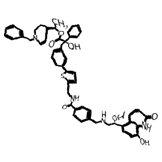 C[C@@H](OC(=O)[C@](O)(c1ccccc1)c1cccc(-c2ccc(CNC(=O)c3ccc(CNC[C@H](O)c4ccc(O)c5[nH]c(=O)ccc45)cc3)s2)c1)C1CCN(Cc2ccccc2)CC1